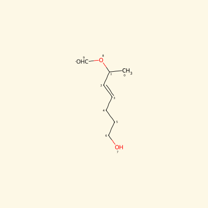 CC(C=CCCCO)O[C]=O